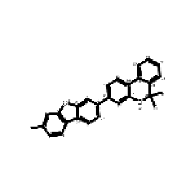 Cc1ccc2c(c1)oc1cc(-c3ccc4c(c3)OC(C)(C)c3ccccc3-4)ccc12